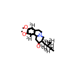 [2H]c1c2c(c([2H])c(OC)c1OC)C1CC(=O)C(C([2H])([2H])C([2H])(C([2H])([2H])[2H])C([2H])([2H])C)CN1CC2